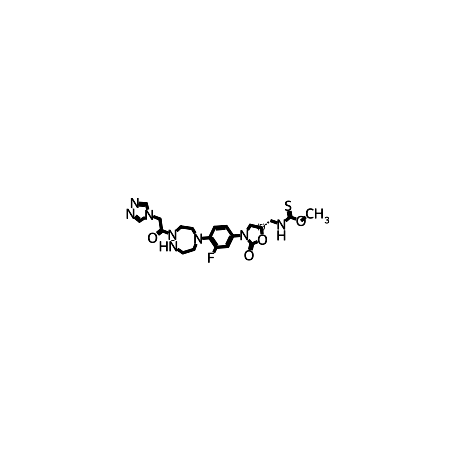 COC(=S)NC[C@H]1CN(c2ccc(N3CCNN(C(=O)Cn4cnnc4)CC3)c(F)c2)C(=O)O1